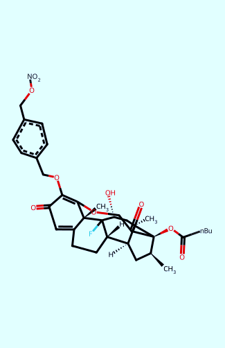 CCCCC(=O)O[C@]12C(=O)COC3=C(OCc4ccc(CO[N+](=O)[O-])cc4)C(=O)C=C4CC[C@H]5[C@H](C[C@@H]1C)[C@@]2(C)C[C@@H](O)C5(F)[C@]43C